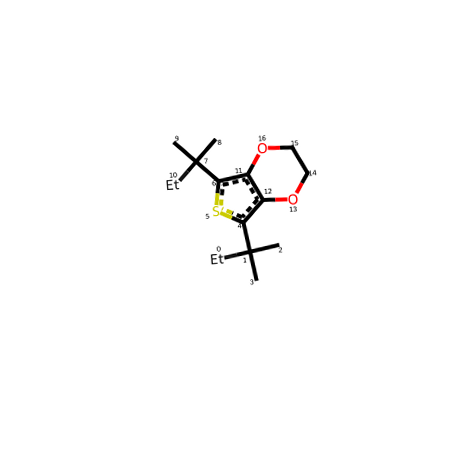 CCC(C)(C)c1sc(C(C)(C)CC)c2c1OCCO2